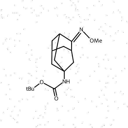 CON=C1C2CC3CC1CC(NC(=O)OC(C)(C)C)(C3)C2